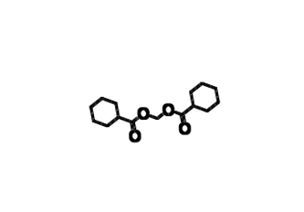 O=C(OCOC(=O)C1CCCCC1)C1CCCCC1